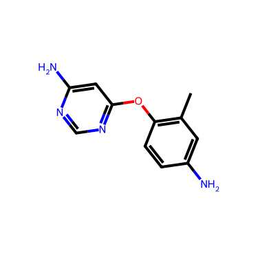 Cc1cc(N)ccc1Oc1cc(N)ncn1